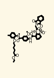 CCOC(=O)CCCCCOc1cc(C)ccc1N(C)C(=O)c1ccc(NC(=O)c2cccc([N+](=O)[O-])c2NC(=O)CN2C(=O)c3ccccc3C2=O)c(OC)c1